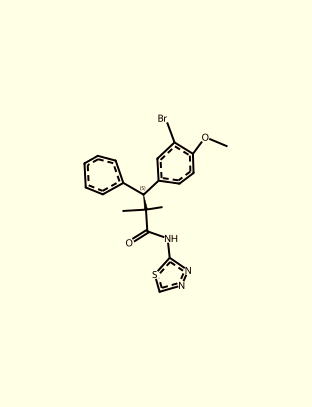 COc1ccc([C@H](c2ccccc2)C(C)(C)C(=O)Nc2nncs2)cc1Br